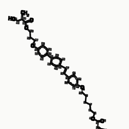 C=CC(=O)OCCCCCCOc1ccc(/C=C/c2ccc(-c3ccc(OCCCOC(=O)C(=C)CO)cc3)cc2)cc1